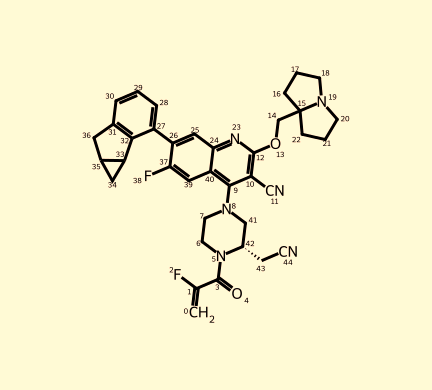 C=C(F)C(=O)N1CCN(c2c(C#N)c(OCC34CCCN3CCC4)nc3cc(-c4cccc5c4C4CC4C5)c(F)cc23)C[C@@H]1CC#N